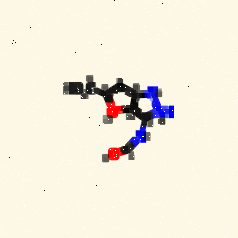 O=C=Nc1[nH]nc2cc(C(=O)O)oc12